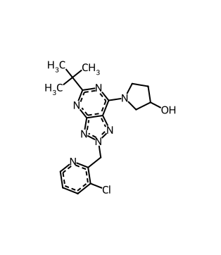 CC(C)(C)c1nc(N2CCC(O)C2)c2nn(Cc3ncccc3Cl)nc2n1